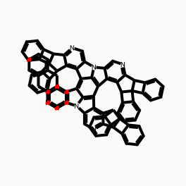 c1ccc2c(c1)C1c3ccccc3C2c2c1ncc1c2c2c3c4c5c(ncc4n4c6cnc7c(c6c(c6c8c9c(ncc8n1c26)C1c2ccccc2C12c1ccccc1C92)c34)C1c2ccccc2C12c1ccccc1C72)C1c2ccccc2C12c1ccccc1C52